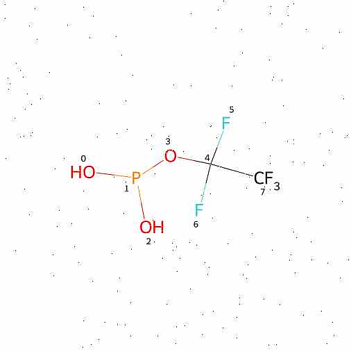 OP(O)OC(F)(F)C(F)(F)F